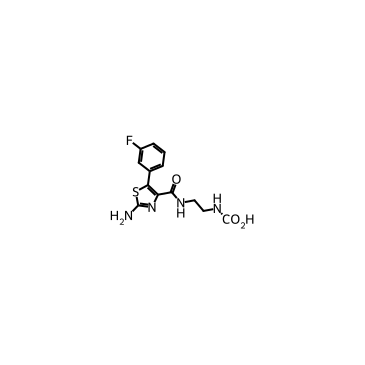 Nc1nc(C(=O)NCCNC(=O)O)c(-c2cccc(F)c2)s1